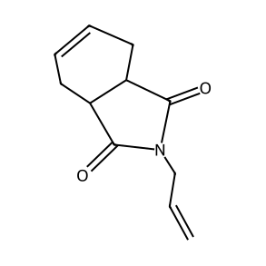 C=CCN1C(=O)C2CC=CCC2C1=O